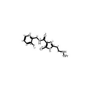 CCCNCCc1nc(C(=O)NCc2ncccc2F)c(Cl)s1